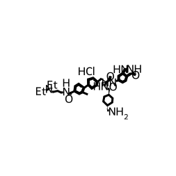 CCN(CC)CCCNC(=O)c1ccc(-c2ccc(C[C@H](NC(=O)[C@H]3CC[C@H](CN)CC3)C(=O)Nc3ccc4c(=O)[nH][nH]c4c3)cc2)c(C)c1.Cl